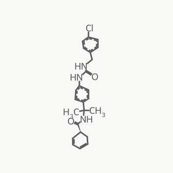 CC(C)(NC(=O)[C@@H]1C=CC=CC1)c1ccc(NC(=O)NCc2ccc(Cl)cc2)cc1